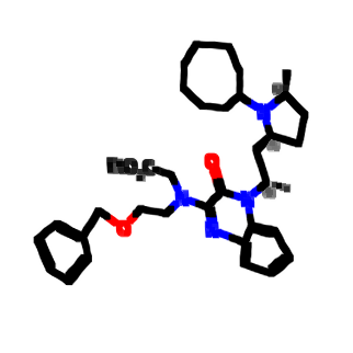 CCOC(=O)CN(CCOCc1ccccc1)c1nc2ccccc2n([C@@H](C)C[C@@H]2CC[C@H](C)N2C2CCCCCCC2)c1=O